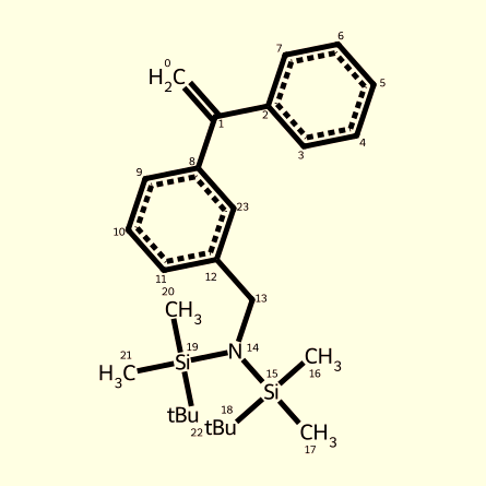 C=C(c1ccccc1)c1cccc(CN([Si](C)(C)C(C)(C)C)[Si](C)(C)C(C)(C)C)c1